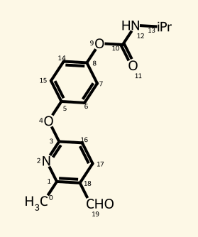 Cc1nc(Oc2ccc(OC(=O)NC(C)C)cc2)ccc1C=O